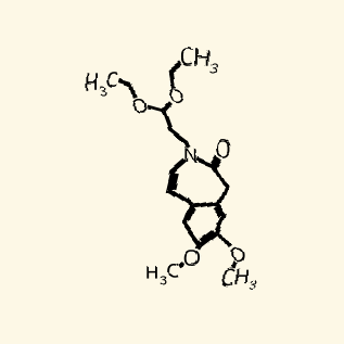 CCOC(CCN1C=Cc2cc(OC)c(OC)cc2CC1=O)OCC